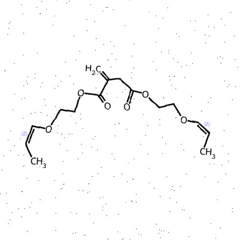 C=C(CC(=O)OCCO/C=C\C)C(=O)OCCO/C=C\C